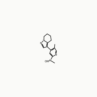 Cc1cnc(N(C)N=O)cc1-c1cnn2c1CCCC2